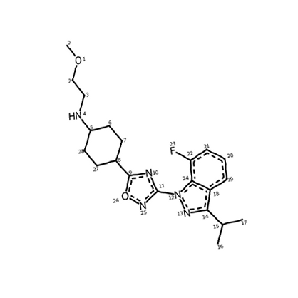 COCCNC1CCC(c2nc(-n3nc(C(C)C)c4cccc(F)c43)no2)CC1